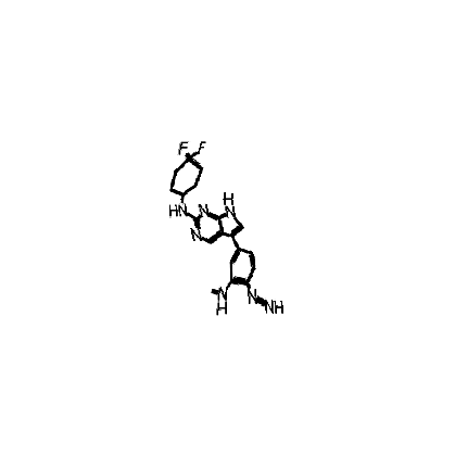 CNc1cc(-c2c[nH]c3nc(NC4CCC(F)(F)CC4)ncc23)ccc1N=N